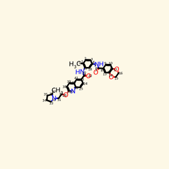 Cc1ccc(NC(=O)c2ccc3c(c2)OCCO3)cc1NC(=O)c1ccc2nc(OCCN3CCCC3C)ccc2c1